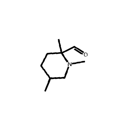 CC1CCC(C)(C=O)N(C)C1